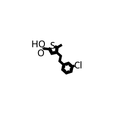 Cc1sc(C(=O)O)cc1CCc1cccc(Cl)c1